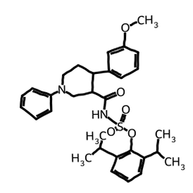 COc1cccc(C2CCN(c3ccccc3)CC2C(=O)NS(=O)(=O)Oc2c(C(C)C)cccc2C(C)C)c1